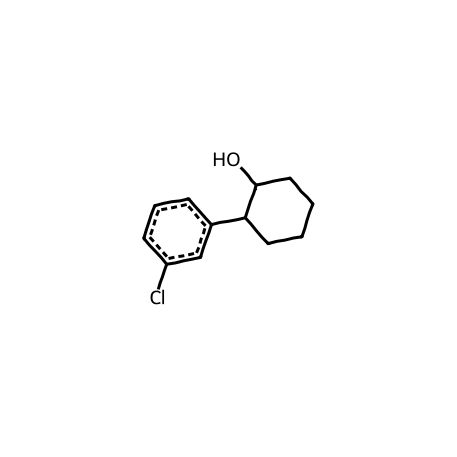 O[C]1CCCCC1c1cccc(Cl)c1